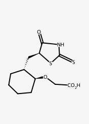 O=C(O)CO[C@H]1CCCC[C@@H]1C[C@@H]1SC(=S)NC1=O